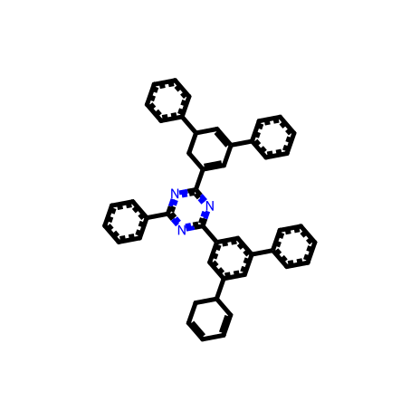 C1=CCC(c2cc(-c3ccccc3)cc(-c3nc(C4=CC(c5ccccc5)=CC(c5ccccc5)C4)nc(-c4ccccc4)n3)c2)C=C1